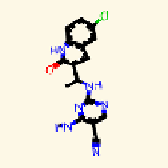 CNc1nc(NC(C)c2cc3cc(Cl)ccc3[nH]c2=O)ncc1C#N